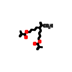 C=C(C)C(=O)OCCCCC(CCCCOC(=O)C(=C)C)C(=C)C(=O)O